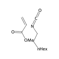 C=CC(=O)OC.CCCCCCCCN=C=O